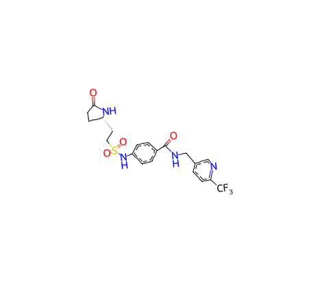 O=C1CC[C@@H](CCS(=O)(=O)Nc2ccc(C(=O)NCc3ccc(C(F)(F)F)nc3)cc2)N1